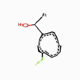 CC[C](O)c1cccc(F)c1